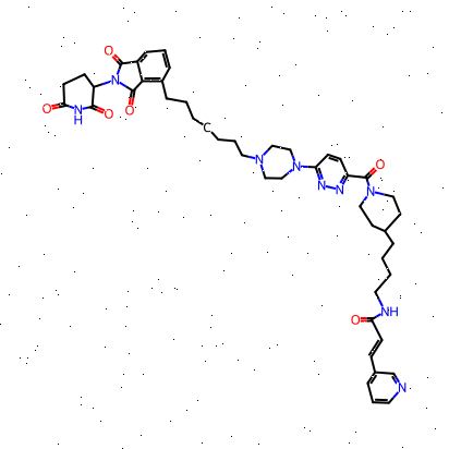 O=C(/C=C/c1cccnc1)NCCCCC1CCN(C(=O)c2ccc(N3CCN(CCCCCCCc4cccc5c4C(=O)N(C4CCC(=O)NC4=O)C5=O)CC3)nn2)CC1